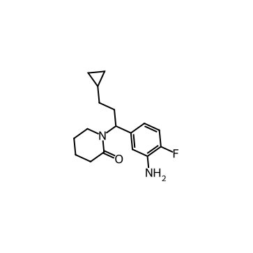 Nc1cc(C(CCC2CC2)N2CCCCC2=O)ccc1F